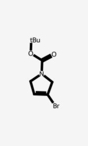 CC(C)(C)OC(=O)N1CC=C(Br)C1